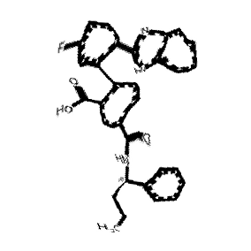 CCC[C@@H](NC(=O)c1ccc(-c2cc(F)ccc2-c2nc3ccccc3[nH]2)c(C(=O)O)c1)c1ccccc1